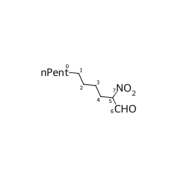 CCCCCCCCCC(C=O)[N+](=O)[O-]